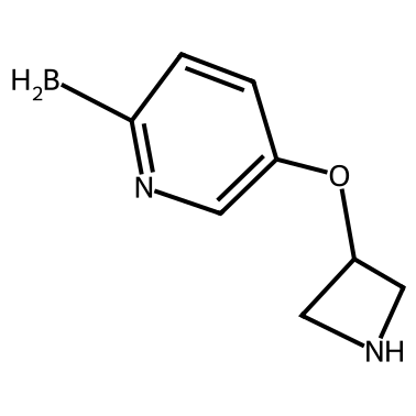 Bc1ccc(OC2CNC2)cn1